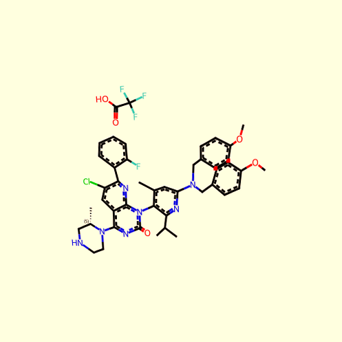 COc1ccc(CN(Cc2ccc(OC)cc2)c2cc(C)c(-n3c(=O)nc(N4CCNC[C@@H]4C)c4cc(Cl)c(-c5ccccc5F)nc43)c(C(C)C)n2)cc1.O=C(O)C(F)(F)F